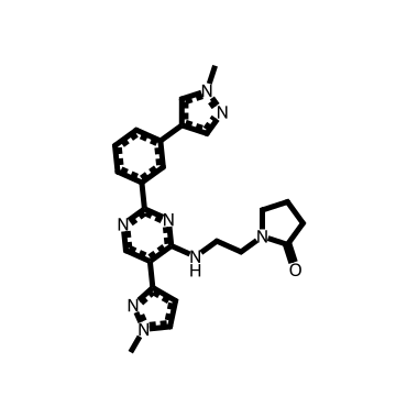 Cn1cc(-c2cccc(-c3ncc(-c4ccn(C)n4)c(NCCN4CCCC4=O)n3)c2)cn1